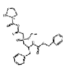 CCOP(=O)(CC(=O)OC(=O)[C@@H]1CCCN1)CC(Cc1ccccc1)NC(=O)OCc1ccccc1